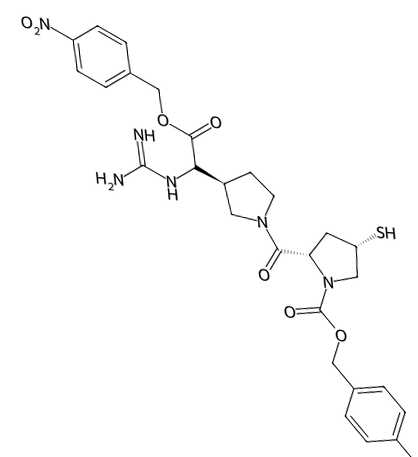 N=C(N)NC(C(=O)OCc1ccc([N+](=O)[O-])cc1)[C@H]1CCN(C(=O)[C@@H]2C[C@H](S)CN2C(=O)OCc2ccc([N+](=O)[O-])cc2)C1